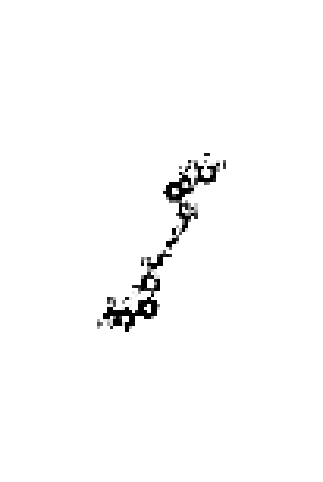 CCc1c[nH]c2ncc(-c3cccc(N4CCN(C(=O)CCOCCOCc5cn(-c6cccc7c6CN(C6CCC(=O)NC6=O)C7=O)nn5)CC4=O)c3)c(Cl)c12